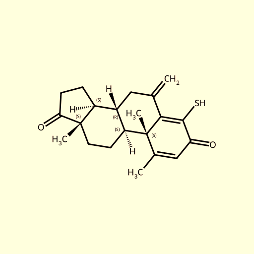 C=C1C[C@@H]2[C@H](CC[C@]3(C)C(=O)CC[C@@H]23)[C@@]2(C)C(C)=CC(=O)C(S)=C12